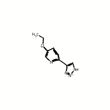 CCOc1ccc(C2=CN[N+]=N2)nc1